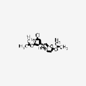 CC(C)OC(=O)/C=C\N1C=CN(c2cc(Cl)nc(OC(C)C)c2)N1